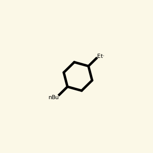 C[CH]C1CCC(CCCC)CC1